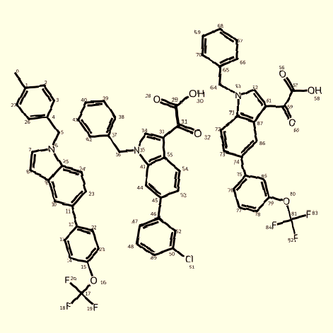 Cc1ccc(Cn2c[c]c3cc(-c4ccc(OC(F)(F)F)cc4)ccc32)cc1.O=C(O)C(=O)c1cn(Cc2ccccc2)c2cc(-c3cccc(Cl)c3)ccc12.O=C(O)C(=O)c1cn(Cc2ccccc2)c2ccc(-c3cccc(OC(F)(F)F)c3)cc12